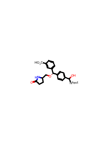 CCCCCC(O)c1ccc([C@H](OCC2CCC(=O)N2)c2cccc(C(=O)O)c2)cc1